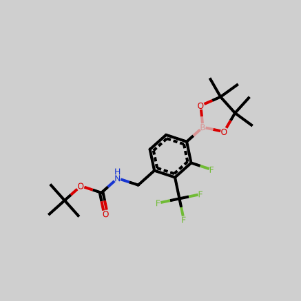 CC(C)(C)OC(=O)NCc1ccc(B2OC(C)(C)C(C)(C)O2)c(F)c1C(F)(F)F